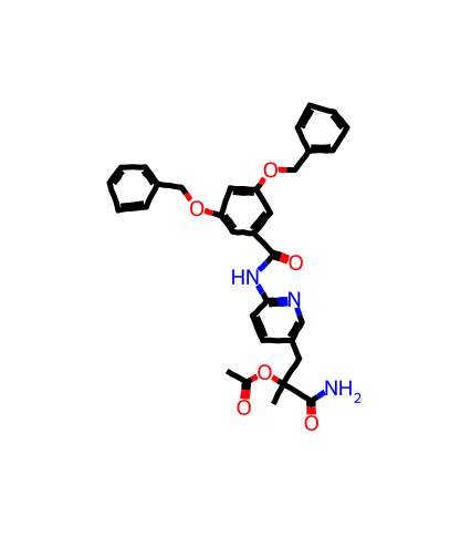 CC(=O)OC(C)(Cc1ccc(NC(=O)c2cc(OCc3ccccc3)cc(OCc3ccccc3)c2)nc1)C(N)=O